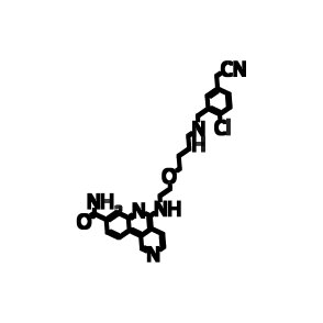 N#CCc1ccc(Cl)c(CNCCCCOCCNc2nc3cc(C(N)=O)ccc3c3cnccc23)c1